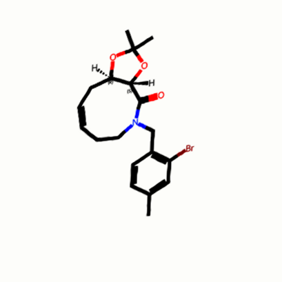 Cc1ccc(CN2CCC=CC[C@H]3OC(C)(C)O[C@@H]3C2=O)c(Br)c1